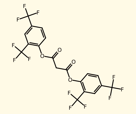 O=C(CC(=O)Oc1ccc(C(F)(F)F)cc1C(F)(F)F)Oc1ccc(C(F)(F)F)cc1C(F)(F)F